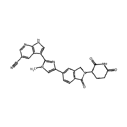 Cn1cc(-c2ccc3c(c2)CN(C2CCC(=O)NC2=O)C3=O)nc1-c1c[nH]c2ncc(C#N)cc12